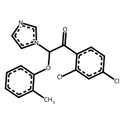 Cc1ccccc1OC(C(=O)c1ccc(Cl)cc1Cl)n1ccnc1